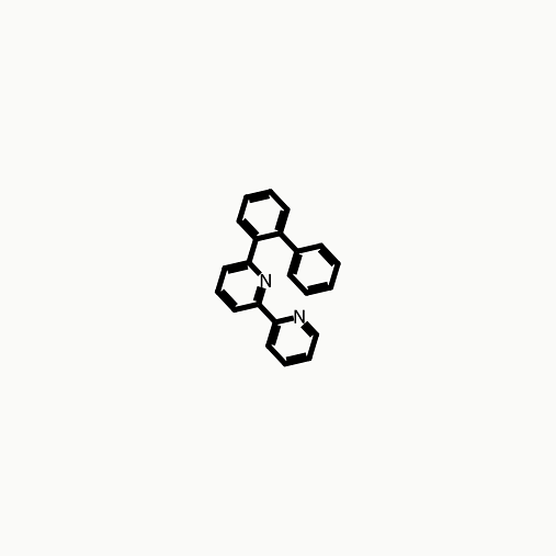 c1ccc(-c2ccccc2-c2cccc(-c3ccccn3)n2)cc1